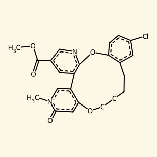 COC(=O)c1cnc2c(c1)-c1cn(C)c(=O)cc1OCCCCc1cc(Cl)ccc1O2